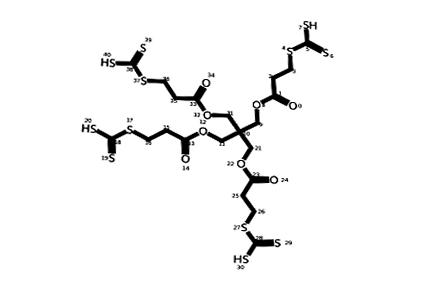 O=C(CCSC(=S)S)OCC(COC(=O)CCSC(=S)S)(COC(=O)CCSC(=S)S)COC(=O)CCSC(=S)S